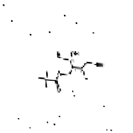 C#CC[C@@H](O)[C@@H](COC(=O)C(C)(C)C)[C@@H](O)C=C